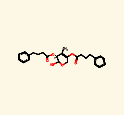 CC1=C(OC(=O)CCCc2ccccc2)COC(O)[C@@H]1OC(=O)CCCc1ccccc1